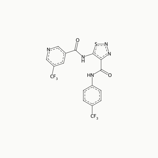 O=C(Nc1snnc1C(=O)Nc1ccc(C(F)(F)F)cc1)c1cncc(C(F)(F)F)c1